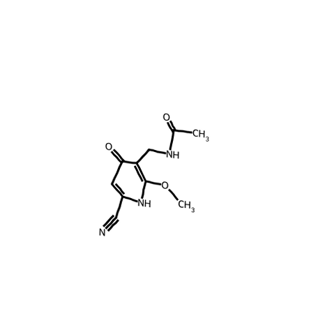 COc1[nH]c(C#N)cc(=O)c1CNC(C)=O